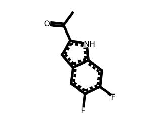 CC(=O)c1cc2cc(F)c(F)cc2[nH]1